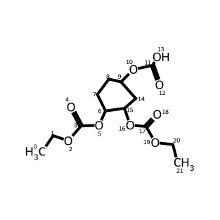 CCOC(=O)OC1CCC(OC(=O)O)CC1OC(=O)OCC